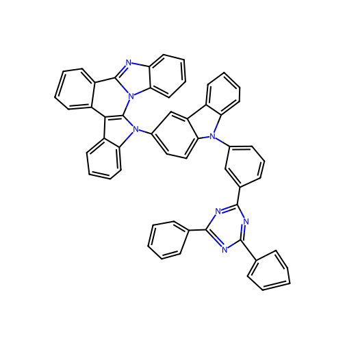 c1ccc(-c2nc(-c3ccccc3)nc(-c3cccc(-n4c5ccccc5c5cc(-n6c7ccccc7c7c8ccccc8c8nc9ccccc9n8c76)ccc54)c3)n2)cc1